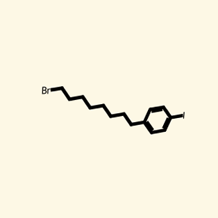 BrCCCCCCCCc1ccc(I)cc1